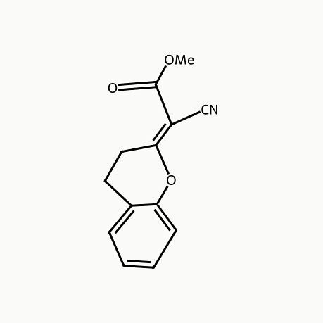 COC(=O)C(C#N)=C1CCc2ccccc2O1